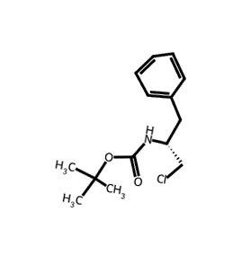 CC(C)(C)OC(=O)N[C@@H](CCl)Cc1ccccc1